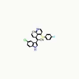 N#C/C=C\C(=C(C#N)c1c[nH]c2ccc(Cl)cc12)c1cnccc1Sc1ccc(F)cc1